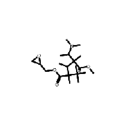 COC(=O)C(C)(C(C)N(C)C)C(C)C(C)(C(=O)OCC1CO1)C(C)(C)C